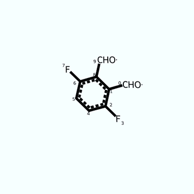 O=[C]c1c(F)ccc(F)c1[C]=O